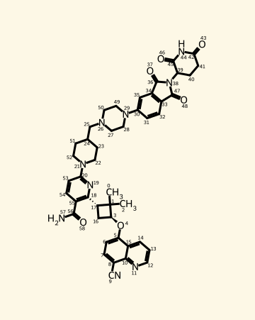 CC1(C)[C@@H](Oc2ccc(C#N)c3ncccc23)C[C@@H]1c1nc(N2CCC(CN3CCN(c4ccc5c(c4)C(=O)N(C4CCC(=O)NC4=O)C5=O)CC3)CC2)ccc1C(N)=O